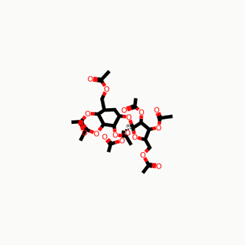 CC(=O)OCC1CC(O[C@]2(COC(C)=O)OC(COC(C)=O)C(OC(C)=O)C2OC(C)=O)C(OC(C)=O)C(OC(C)=O)C1OC(C)=O